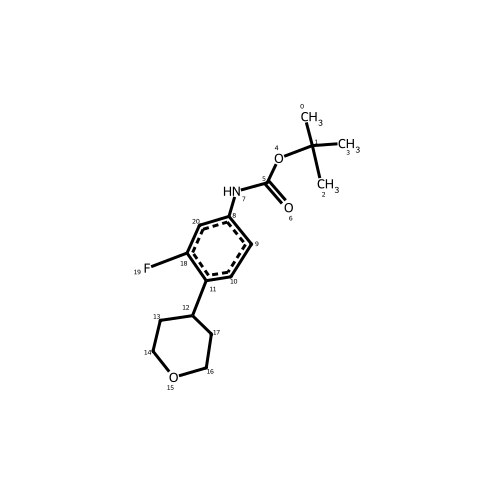 CC(C)(C)OC(=O)Nc1ccc(C2CCOCC2)c(F)c1